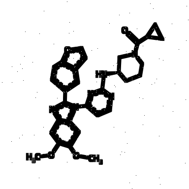 COc1cc2nc(-c3ccc4occc4c3)n(-c3ccnc(N[C@@H]4CCCN(C(=O)C5CC5)C4)n3)c2cc1OC